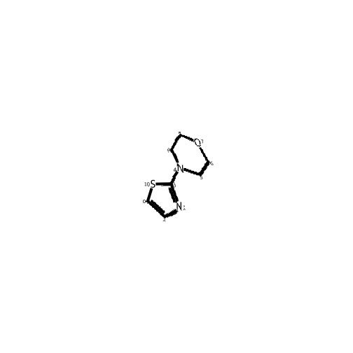 [c]1cnc(N2CCOCC2)s1